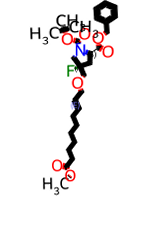 COC(=O)CCCCCC/C=C/COC[C@@]1(F)C[C@@H](C(=O)OCc2ccccc2)N(C(=O)OC(C)(C)C)C1